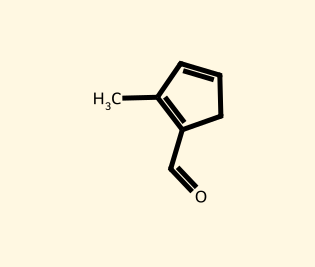 CC1=C(C=O)CC=C1